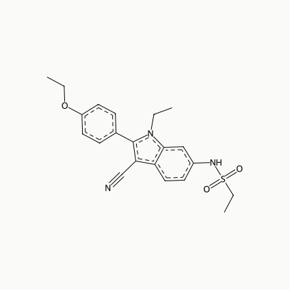 CCOc1ccc(-c2c(C#N)c3ccc(NS(=O)(=O)CC)cc3n2CC)cc1